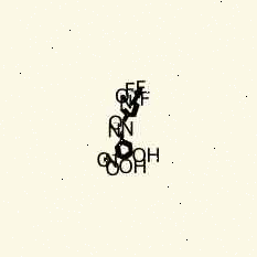 O=[N+]([O-])c1cc(-c2noc(-c3ccc(C(F)(F)F)[n+]([O-])c3)n2)cc(O)c1O